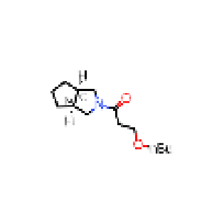 CCCCOCCC(=O)N1C[C@H]2CCC[C@H]2C1